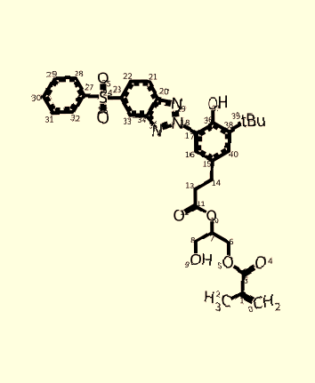 C=C(C)C(=O)OCC(CO)OC(=O)CCc1cc(-n2nc3ccc(S(=O)(=O)c4ccccc4)cc3n2)c(O)c(C(C)(C)C)c1